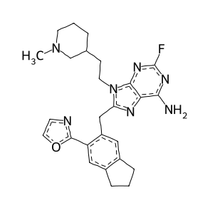 CN1CCCC(CCn2c(Cc3cc4c(cc3-c3ncco3)CCC4)nc3c(N)nc(F)nc32)C1